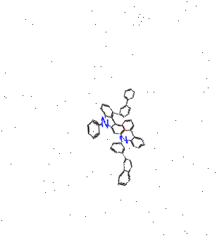 c1ccc(-c2cccc(-c3cccc4c3c3ccc(N(c5cccc(-c6ccc7ccccc7c6)c5)c5ccccc5-c5ccccc5)cc3n4-c3ccccc3)c2)cc1